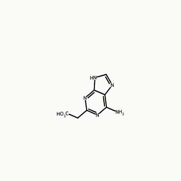 Nc1nc(CC(=O)O)nc2[nH]cnc12